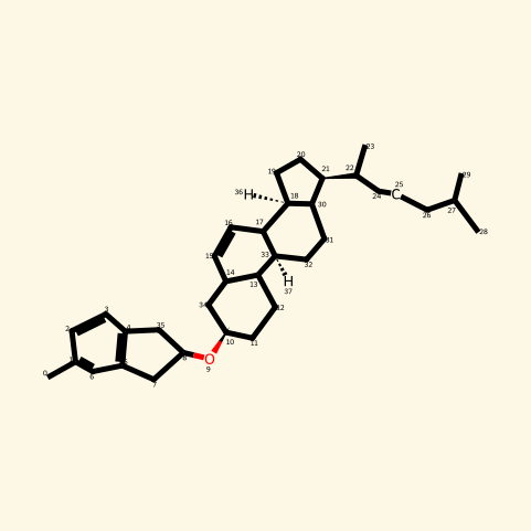 Cc1ccc2c(c1)CC(O[C@@H]1CCC3C(C=CC4[C@H]5CC[C@@H](C(C)CCCC(C)C)C5CC[C@@H]34)C1)C2